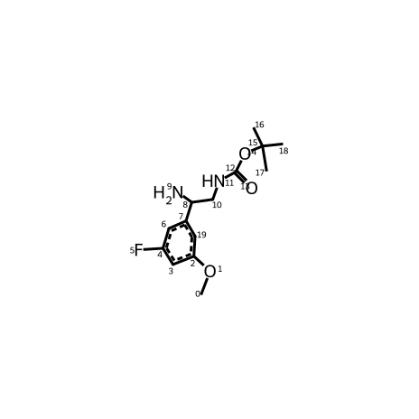 COc1cc(F)cc(C(N)CNC(=O)OC(C)(C)C)c1